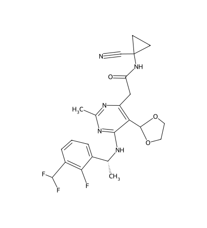 Cc1nc(CC(=O)NC2(C#N)CC2)c(C2OCCO2)c(N[C@H](C)c2cccc(C(F)F)c2F)n1